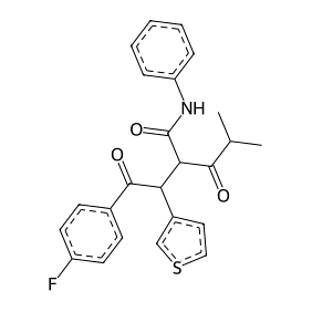 CC(C)C(=O)C(C(=O)Nc1ccccc1)C(C(=O)c1ccc(F)cc1)c1ccsc1